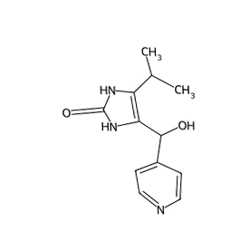 CC(C)c1[nH]c(=O)[nH]c1C(O)c1ccncc1